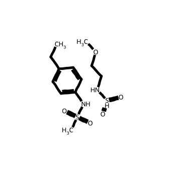 CCc1ccc(NS(C)(=O)=O)cc1.COCCN[SH](=O)=O